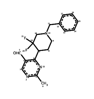 Cc1ncc(C=O)c(C2CCN(Cc3ccccc3)CC2(F)F)n1